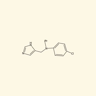 CC(C)N(Cc1cnc[nH]1)c1ccc(Cl)cc1